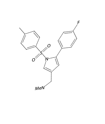 CNCc1cc(-c2ccc(F)cc2)n(S(=O)(=O)c2ccc(C)cc2)c1